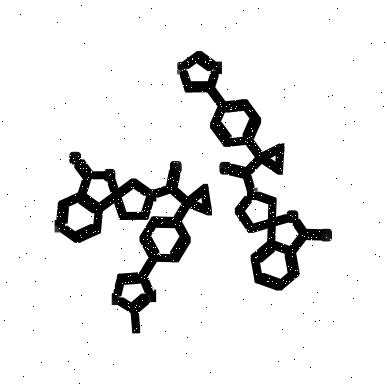 Cc1nc(-c2ccc(C3(C(=O)N4CCC5(C4)OC(=O)c4cnccc45)CC3)cc2)cs1.O=C1OC2(CCN(C(=O)C3(c4ccc(-c5cscn5)cc4)CC3)C2)c2ccccc21